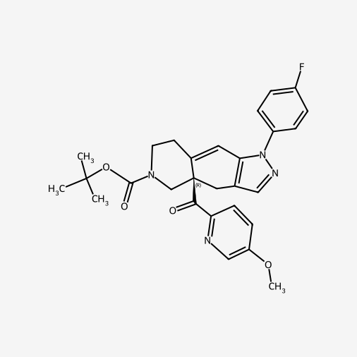 COc1ccc(C(=O)[C@]23Cc4cnn(-c5ccc(F)cc5)c4C=C2CCN(C(=O)OC(C)(C)C)C3)nc1